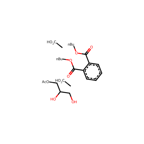 CC(=O)O.CC(=O)O.CC(=O)OCC(O)CO.CCCCOC(=O)c1ccccc1C(=O)OCCCC